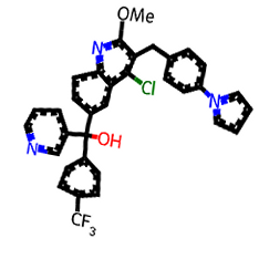 COc1nc2ccc(C(O)(c3ccc(C(F)(F)F)cc3)c3cccnc3)cc2c(Cl)c1Cc1ccc(-n2cccc2)cc1